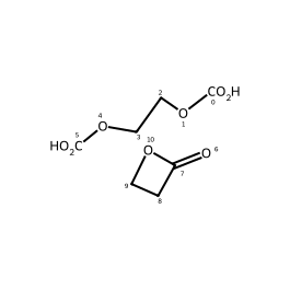 O=C(O)OCCOC(=O)O.O=C1CCO1